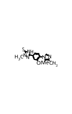 COc1cc(-c2nn(C)c(=S)[nH]2)ccc1-n1cnc(C)c1